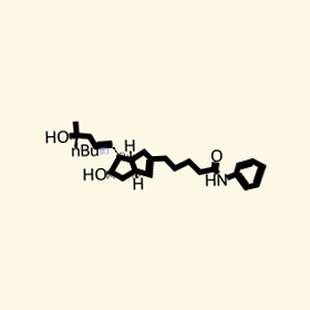 CCCC[C@](C)(O)C/C=C/[C@@H]1[C@H]2CC(CCCCC(=O)Nc3ccccc3)=C[C@H]2C[C@H]1O